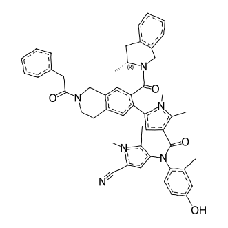 Cc1cc(O)ccc1N(C(=O)c1cc(-c2cc3c(cc2C(=O)N2Cc4ccccc4C[C@H]2C)CN(C(=O)Cc2ccccc2)CC3)n(C)c1C)c1cc(C#N)n(C)c1C